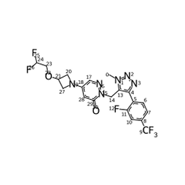 Cn1nnc(-c2ccc(C(F)(F)F)cc2F)c1Cn1ncc(N2CC(OCC(F)F)C2)cc1=O